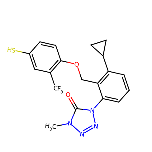 Cn1nnn(-c2cccc(C3CC3)c2COc2ccc(S)cc2C(F)(F)F)c1=O